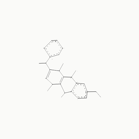 CCc1ccc2c(c1)C(C)C1=C(C(C)C=C(C(C)c3ccccc3)C1C)C2C